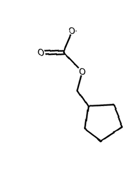 [O]C(=O)OCC1CCCC1